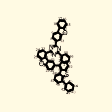 c1ccc(-c2nc(-c3ccc4c(c3)oc3ccccc34)nc(-c3cccc4oc5ccc(-c6cccc7sc8c(-c9ccccc9)cccc8c67)cc5c34)n2)cc1